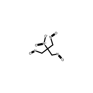 O=NCC(CN=O)(CN=O)[N+](=O)[O-]